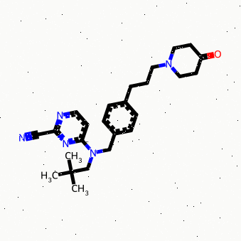 CC(C)(C)CN(Cc1ccc(CCCN2CCC(=O)CC2)cc1)c1ccnc(C#N)n1